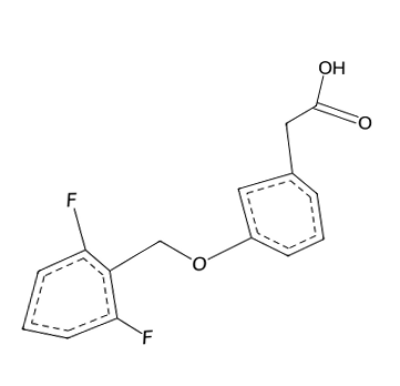 O=C(O)Cc1cccc(OCc2c(F)cccc2F)c1